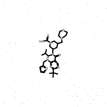 CC(C)CN(C(=O)c1cnc(C(C)(C)C)nc1NCc1ccco1)C1CC(CN2CCOCC2)CN(C(=O)O)C1